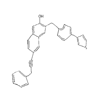 Oc1cc2ccc(C#CCc3ccccc3)cc2cc1Cc1ccc(-c2ccsc2)cc1